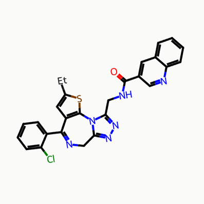 CCc1cc2c(s1)-n1c(nnc1CNC(=O)c1cnc3ccccc3c1)CN=C2c1ccccc1Cl